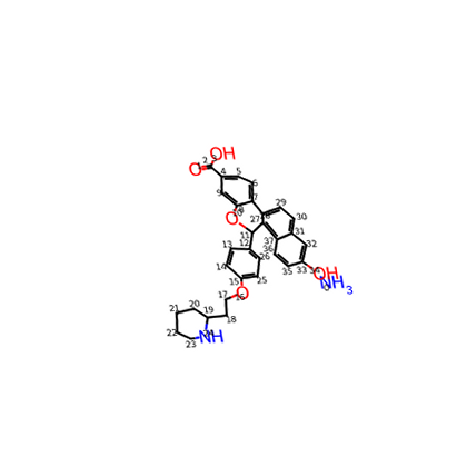 N.O=C(O)c1ccc2c(c1)OC(c1ccc(OCCC3CCCCN3)cc1)c1c-2ccc2cc(O)ccc12